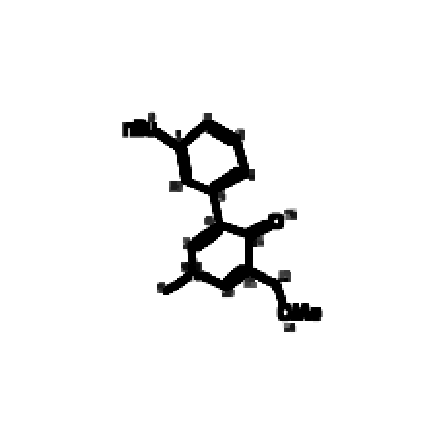 CCCCc1cccc(-c2cn(C)cc(COC)c2=O)c1